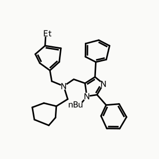 CCCCn1c(-c2ccccc2)nc(-c2ccccc2)c1CN(Cc1ccc(CC)cc1)CC1CCCCC1